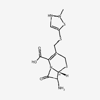 CN1NC=C(SCC2=C(C(=O)O)N3C(=O)C(N)[C@H]3SC2)S1